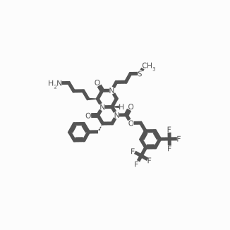 CSCCCN1C[C@@H]2N(C(=O)OCc3cc(C(F)(F)F)cc(C(F)(F)F)c3)C[C@H](Cc3ccccc3)C(=O)N2[C@@H](CCCCN)C1=O